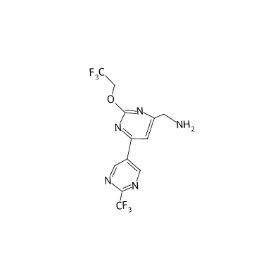 NCc1cc(-c2cnc(C(F)(F)F)nc2)nc(OCC(F)(F)F)n1